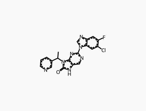 CC(c1cccnc1)n1c(=O)[nH]c2cnc(-n3cnc4cc(F)c(Cl)cc43)nc21